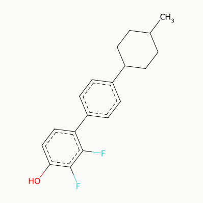 CC1CCC(c2ccc(-c3ccc(O)c(F)c3F)cc2)CC1